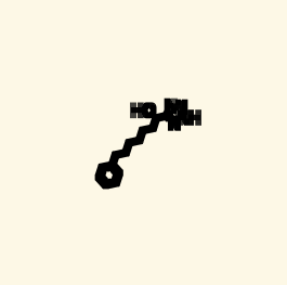 OC(CCCCCCc1ccccc1)c1nn[nH]n1